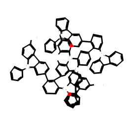 CC(C)(C)c1cc(-c2ccccc2)cc(N2c3ccc(-c4c(-c5ccc6c(c5)c5ccccc5n6-c5ccccc5)cccc4-n4c5ccccc5c5ccccc54)cc3B3c4ccc(C(C)(C)C)cc4Oc4cc(-c5c(-c6ccc7c8cc(C(C)(C)C)ccc8n(-c8ccccc8)c7c6)cccc5-n5c6ccccc6c6ccccc65)cc2c43)c1